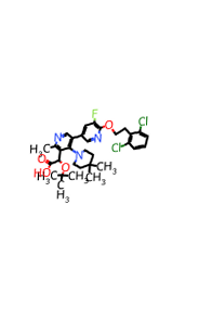 Cc1ncc(-c2cnc(OCCc3c(Cl)cccc3Cl)c(F)c2)c(N2CCC(C)(C)CC2)c1C(OC(C)(C)C)C(=O)O